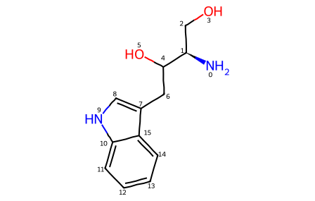 N[C@H](CO)C(O)Cc1c[nH]c2ccccc12